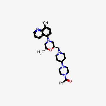 CC(C)C(=O)N1CCN(C2CCN(C[C@@H]3CN(c4ccc(C#N)c5ncccc45)C[C@@H](C)O3)CC2)CC1